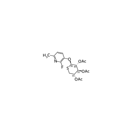 CC(=O)O[C@@H]1[C@@H](OC(C)=O)[C@H](OC(C)=O)CS[C@H]1Oc1ccc(C)nc1F